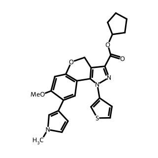 COc1cc2c(cc1-c1ccn(C)c1)-c1c(c(C(=O)OC3CCCC3)nn1-c1ccsc1)CO2